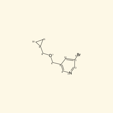 Brc1cncc(COCC2CC2)c1